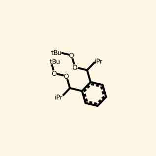 CC(C)C(OOC(C)(C)C)c1ccccc1C(OOC(C)(C)C)C(C)C